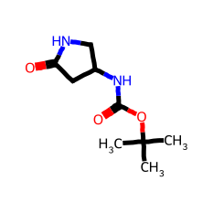 CC(C)(C)OC(=O)NC1CNC(=O)C1